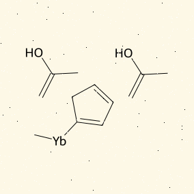 C=C(C)O.C=C(C)O.[CH3][Yb][C]1=CC=CC1